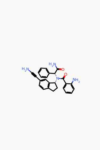 NC#Cc1ccc2c(c1)[C@H](N(C(=O)c1ccccc1N)[C@@H](C(N)=O)c1ccccc1)CC2